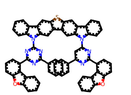 c1ccc(-c2cc(-n3c4ccccc4c4cc5sc6cc7c8ccccc8n(-c8nc(-c9ccccc9)nc(-c9cccc%10oc%11ccccc%11c9%10)n8)c7cc6c5cc43)nc(-c3cccc4oc5ccccc5c34)n2)cc1